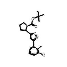 Cc1c(Cl)cccc1-c1cc(C2CCCN2C(=O)OC(C)(C)C)on1